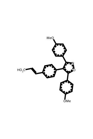 COc1ccc(-c2noc(-c3ccc(OC)cc3)c2-c2ccc(/C=C/C(=O)O)cc2)cc1